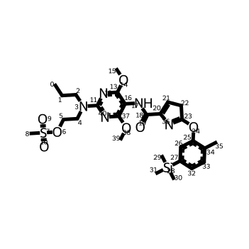 CCCN(CCOS(C)(=O)=O)c1nc(OC)c(NC(=O)C2=CCC(Oc3cc([Si](C)(C)C)ccc3C)=N2)c(OC)n1